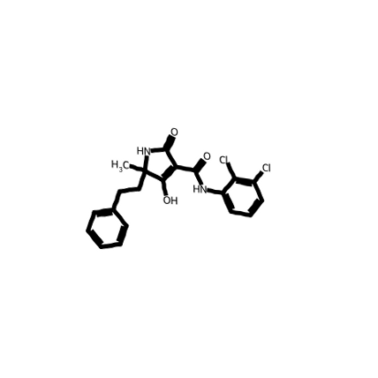 CC1(CCc2ccccc2)NC(=O)C(C(=O)Nc2cccc(Cl)c2Cl)=C1O